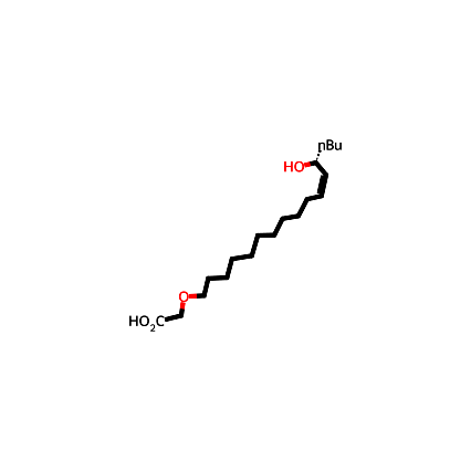 CCCC[C@@H](O)/C=C\CCCCCCCCCCOCC(=O)O